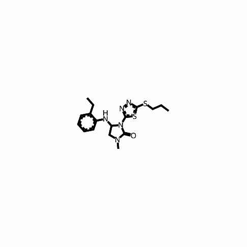 CCCSc1nnc(N2C(=O)N(C)CC2Nc2ccccc2CC)s1